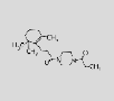 CCC(=O)N1CCN(C(=O)/C=C/C2=C(C)CCCC2(C)C)CC1